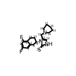 Fc1cc(F)c2c(c1)C[C@@H](n1c(CN3CCCCC3)c[nH]c1=S)CC2